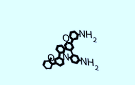 Nc1ccc(-n2c3ccccc3c3c4oc5c(c4ccc32)CCC=C5)c(-c2ccc3oc4ccc(N)cc4c3c2)c1